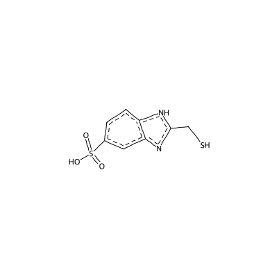 O=S(=O)(O)c1ccc2[nH]c(CS)nc2c1